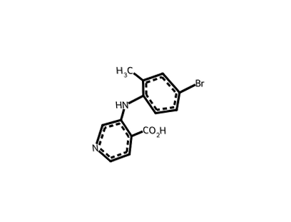 Cc1cc(Br)ccc1Nc1cnccc1C(=O)O